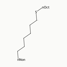 CCCCCCCCCCCCCC[CH]SCCCCCCCC